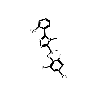 C[C@H](Oc1c(F)cc(C#N)cc1F)c1nnc(-c2ccccc2C(F)(F)F)n1C